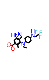 CCN(c1c(C)c(C(=O)OC)cc2[nH]ncc12)C1CCC(NCC(F)(F)F)CC1